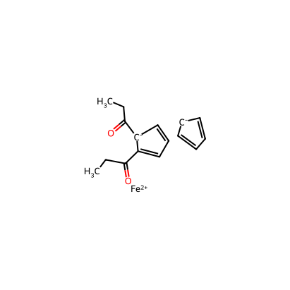 CCC(=O)c1ccc[c-]1C(=O)CC.[Fe+2].c1cc[cH-]c1